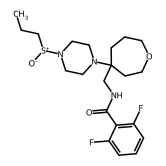 CCC[S+]([O-])N1CCN(C2(CNC(=O)c3c(F)cccc3F)CCCOCC2)CC1